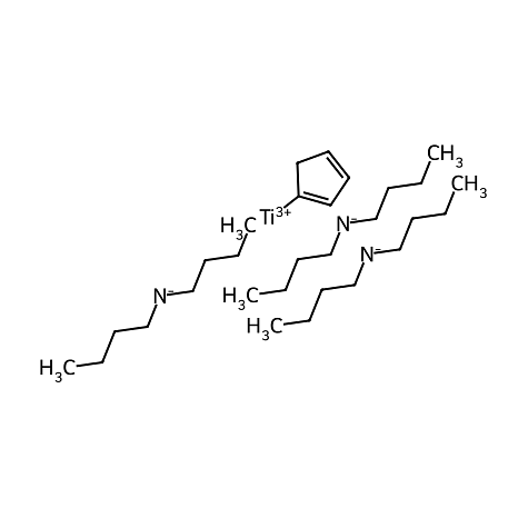 CCCC[N-]CCCC.CCCC[N-]CCCC.CCCC[N-]CCCC.[Ti+3][C]1=CC=CC1